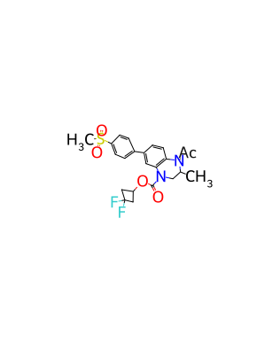 CC(=O)N1c2ccc(-c3ccc(S(C)(=O)=O)cc3)cc2N(C(=O)OC2CC(F)(F)C2)CC1C